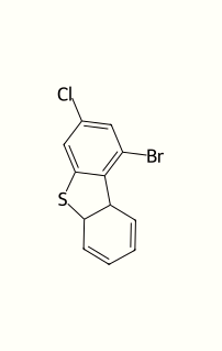 Clc1cc(Br)c2c(c1)SC1C=CC=CC21